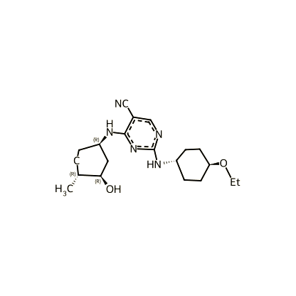 CCO[C@H]1CC[C@H](Nc2ncc(C#N)c(N[C@@H]3CC[C@@H](C)[C@H](O)C3)n2)CC1